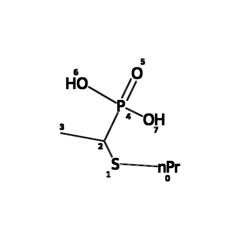 CCCSC(C)P(=O)(O)O